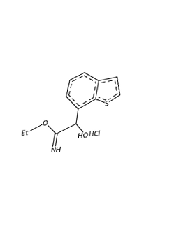 CCOC(=N)C(O)c1cccc2ccsc12.Cl